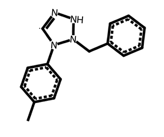 Cc1ccc(N2[C]=NNN2Cc2ccccc2)cc1